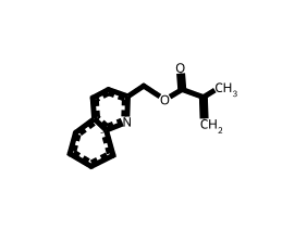 C=C(C)C(=O)OCc1ccc2ccccc2n1